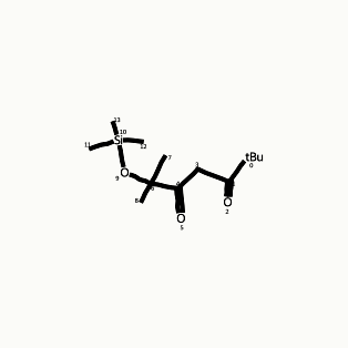 CC(C)(C)C(=O)CC(=O)C(C)(C)O[Si](C)(C)C